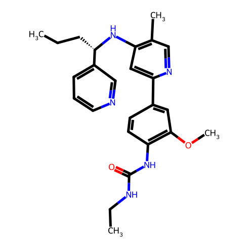 CCC[C@H](Nc1cc(-c2ccc(NC(=O)NCC)c(OC)c2)ncc1C)c1cccnc1